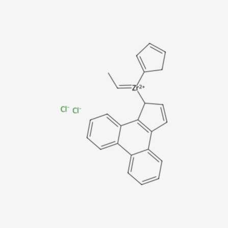 C[CH]=[Zr+2]([C]1=CC=CC1)[CH]1C=Cc2c1c1ccccc1c1ccccc21.[Cl-].[Cl-]